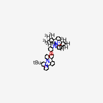 [2H]c1c([2H])c([2H])c(-c2cccc(-c3c([2H])c([2H])c([2H])c([2H])c3[2H])c2-[n+]2cn(-c3cccc(Oc4cccc(N(c5cc(C(C)(C)C)ccn5)c5c(-c6ccccc6)cccc5-c5ccccc5)c4)c3)c3ccccc32)c([2H])c1[2H]